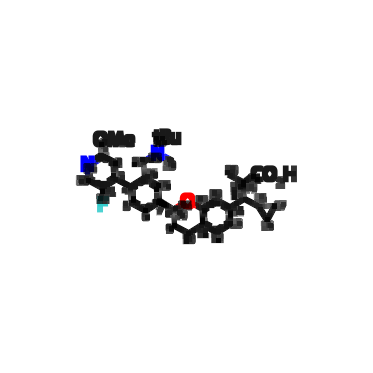 COc1cc(-c2ccc([C@@H]3CCc4ccc(C(C5CC5)[C@@H](C)C(=O)O)cc4O3)cc2CN(C)C(C)(C)C)c(F)cn1